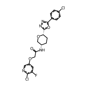 O=C(COc1cnc(Cl)c(F)c1)N[C@H]1CC[C@@H](c2nnc(-c3ccc(Cl)cc3)o2)OC1